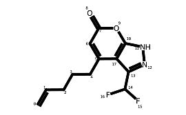 C=CCCCc1cc(=O)oc2[nH]nc(C(F)F)c12